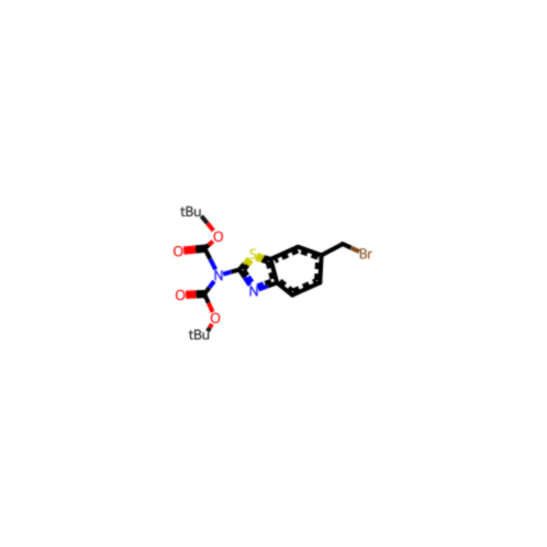 CC(C)(C)OC(=O)N(C(=O)OC(C)(C)C)c1nc2ccc(CBr)cc2s1